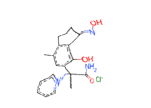 Cc1cc(C(C)(C(N)=O)[n+]2ccccc2)c(O)c2c1CC/C2=N\O.[Cl-]